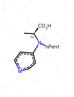 CCCCCN(c1ccncc1)[C@@H](C)C(=O)O